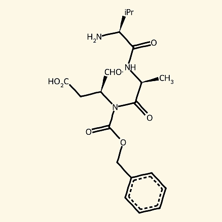 CC(C)[C@H](N)C(=O)N[C@@H](C)C(=O)N(C(=O)OCc1ccccc1)[C@H]([C]=O)CC(=O)O